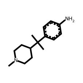 CN1CCC(C(C)(C)c2ccc(N)cc2)CC1